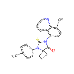 Cc1ccc(N2C(=S)N(c3ccc(C#N)c4ncccc34)C(=O)C23CCC3)cc1